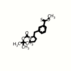 COC(=S)c1cccc(CC2CCCN2C(=O)OC(C)(C)C)c1